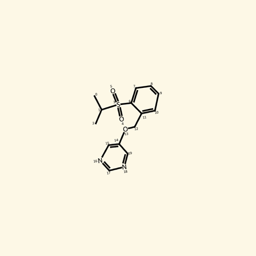 CC(C)S(=O)(=O)c1ccccc1COc1cncnc1